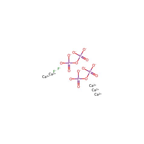 O=P([O-])([O-])OP(=O)([O-])[O-].O=P([O-])([O-])OP(=O)([O-])[O-].[Ca+2].[Ca+2].[Ca+2].[Ca+2].[Ca+2].[F-].[F-]